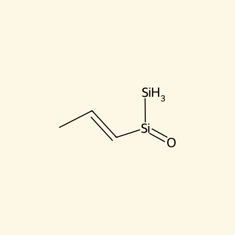 CC=C[Si](=O)[SiH3]